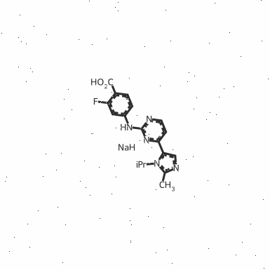 Cc1ncc(-c2ccnc(Nc3ccc(C(=O)O)c(F)c3)n2)n1C(C)C.[NaH]